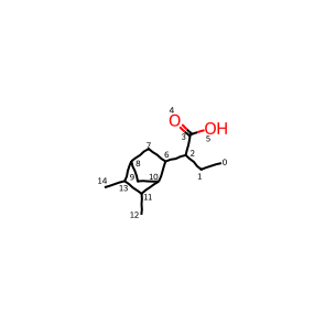 CCC(C(=O)O)C1CC2CC1C(C)C2C